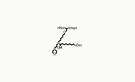 CCCCCCCCCCCCCCCCCC(=O)N(CCCCCCOCC(CCCCCCC)CCCCCCCCC)CC(O)CN1CCOCC1